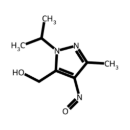 Cc1nn(C(C)C)c(CO)c1N=O